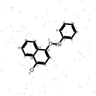 [O]c1ccc(O[Si]c2ccccc2)c2ccccc12